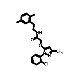 Cc1ccc(C)c(CCNC(=O)COc2cc(C(F)(F)F)nn2C2=CC=CCC2Cl)c1